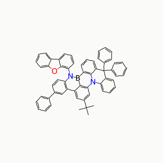 CC(C)(C)c1cc2c3c(c1)N1c4ccccc4C(c4ccccc4)(c4ccccc4)c4cccc(c41)B3N(c1cccc3c1oc1ccccc13)c1ccc(-c3ccccc3)cc1-2